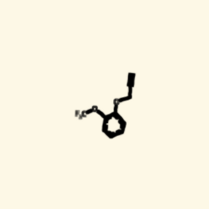 C#CCOc1ccccc1OC(F)(F)F